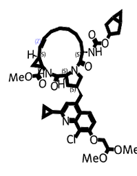 COC(=O)[C@@]12C[C@H]1/C=C\CCCCC[C@H](NC(=O)OC1CC3CC3C1)C(=O)N1C[C@@H](Cc3cc(C4CC4)nc4c(Cl)c(OCC(OC)OC)ccc34)C[C@H]1C(=O)N2